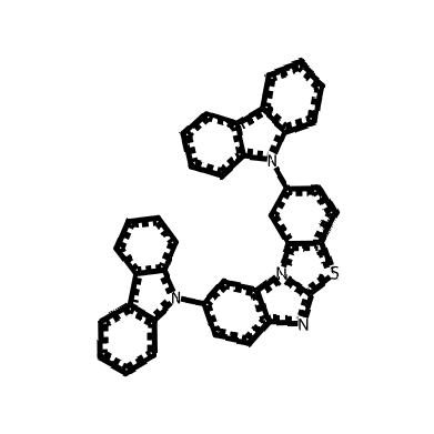 c1ccc2c(c1)c1ccccc1n2-c1ccc2nc3sc4ccc(-n5c6ccccc6c6ccccc65)cc4n3c2c1